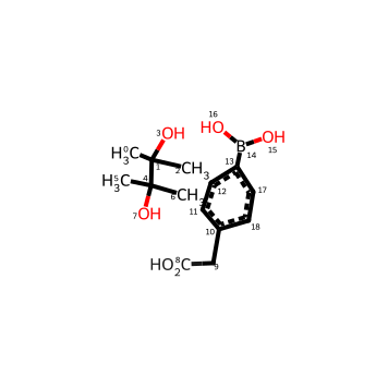 CC(C)(O)C(C)(C)O.O=C(O)Cc1ccc(B(O)O)cc1